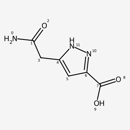 NC(=O)Cc1cc(C(=O)O)n[nH]1